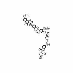 COc1cc2c(Oc3ccc(NC(=O)c4c(C)n(C)c5ccc(OC(F)(F)F)cc5c4=O)cc3F)ncnc2cc1OCC(=O)N1CCC(CCNc2ccc3c(c2)CN(C2CCC(=O)NC2=O)C3=O)CC1